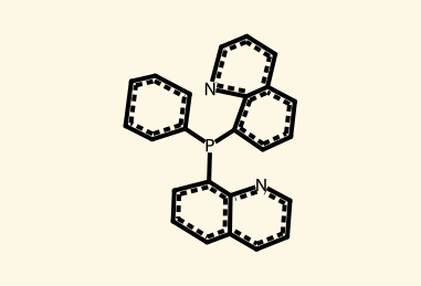 c1ccc(P(c2cccc3cccnc23)c2cccc3cccnc23)cc1